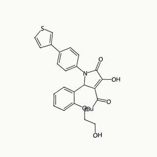 CC(C)(C)C(=O)C1=C(O)C(=O)N(c2ccc(-c3ccsc3)cc2)C1c1ccccc1OCCO